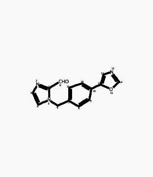 O=Cc1nc[c]n1Cc1ccc(-c2cnco2)cc1